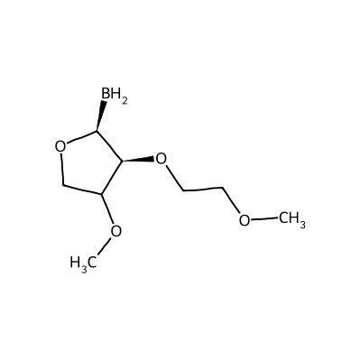 B[C@@H]1OCC(OC)[C@@H]1OCCOC